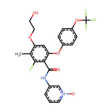 Cc1c(OCCO)cc(Oc2ccc(OC(F)(F)F)cc2)c(C(=O)Nc2ccc[n+]([O-])c2)c1F